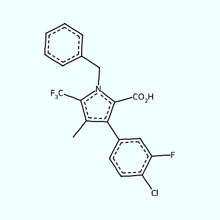 Cc1c(-c2ccc(Cl)c(F)c2)c(C(=O)O)n(Cc2ccccc2)c1C(F)(F)F